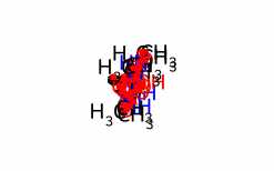 CC(C)(C)OC(=O)NCCCN(Cc1cnn(C[C@@H]2[C@H](NC(=O)C(=NOC3(C(=O)OC(c4ccccc4)c4ccccc4)CC3)c3csc(NC(=O)OC(C)(C)C)n3)C(=O)N2S(=O)(=O)O)n1)C(=O)OC(C)(C)C